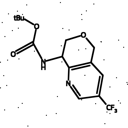 CC(C)(C)OC(=O)NC1COCc2cc(C(F)(F)F)cnc21